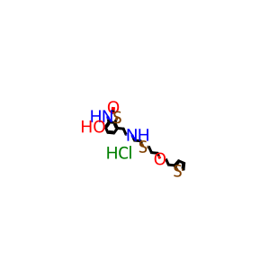 Cl.O=c1[nH]c2c(O)ccc(CCNCCSCCCOCCc3cccs3)c2s1